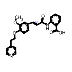 COc1cc(/C=C/C(=O)Nc2ccccc2C(=O)O)ccc1OCCc1ccncc1